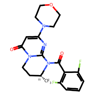 O=C(c1c(F)cccc1F)N1c2nc(N3CCOCC3)cc(=O)n2CC[C@H]1C(F)(F)F